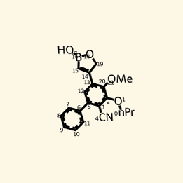 CCCOc1c(C#N)c(-c2ccccc2)cc(C2=CB(O)OC2)c1OC